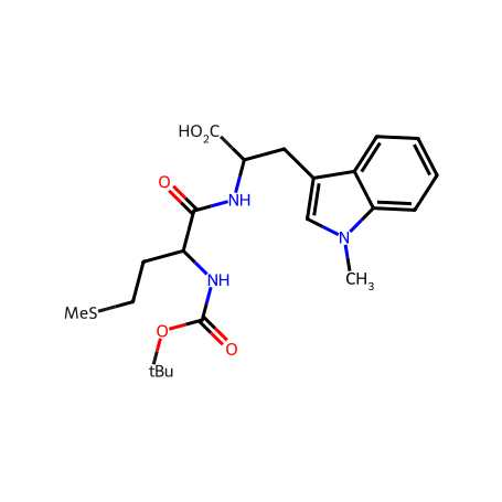 CSCCC(NC(=O)OC(C)(C)C)C(=O)NC(Cc1cn(C)c2ccccc12)C(=O)O